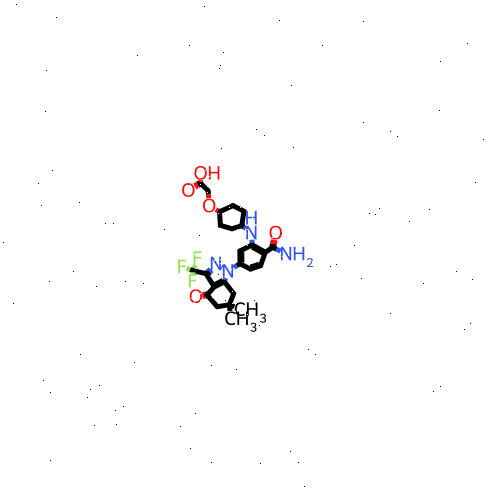 CC1(C)CC(=O)c2c(C(F)(F)F)nn(-c3ccc(C(N)=O)c(NC4CCC(OCC(=O)O)CC4)c3)c2C1